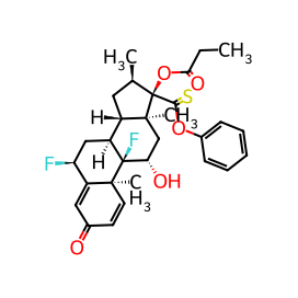 CCC(=O)O[C@]1(C(=S)Oc2ccccc2)[C@H](C)C[C@H]2[C@@H]3C[C@H](F)C4=CC(=O)C=C[C@]4(C)[C@@]3(F)[C@@H](O)C[C@@]21C